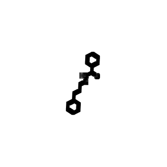 O=C(NN=C/C=C/c1ccccc1)c1ccccc1